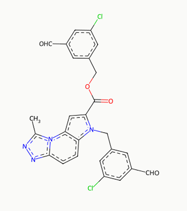 Cc1nnc2ccc3c(cc(C(=O)OCc4cc(Cl)cc(C=O)c4)n3Cc3cc(Cl)cc(C=O)c3)n12